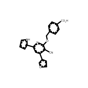 N#Cc1c(-c2ccoc2)cc(-c2ccc[nH]2)nc1OCc1ccc(C(=O)O)cc1